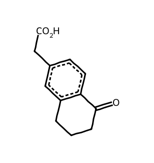 O=C(O)Cc1ccc2c(c1)CCCC2=O